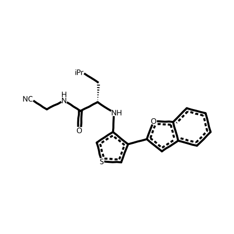 CC(C)C[C@H](Nc1cscc1-c1cc2ccccc2o1)C(=O)NCC#N